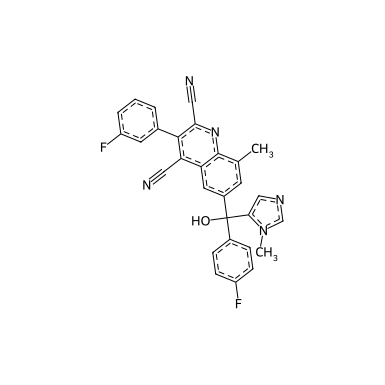 Cc1cc(C(O)(c2ccc(F)cc2)c2cncn2C)cc2c(C#N)c(-c3cccc(F)c3)c(C#N)nc12